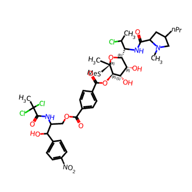 CCCC1CC(C(=O)NC(C(C)Cl)[C@H]2O[C@](C)(SC)[C@H](OC(=O)c3ccc(C(=O)OCC(NC(=O)C(C)(Cl)Cl)C(O)c4ccc([N+](=O)[O-])cc4)cc3)[C@@H](O)[C@H]2O)N(C)C1